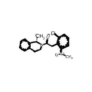 C[C@H]1c2ccccc2CCN1C(=O)Cc1c(Cl)cccc1[S+](C)[O-]